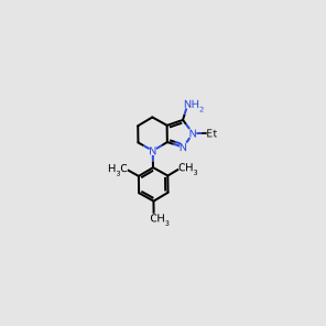 CCn1nc2c(c1N)CCCN2c1c(C)cc(C)cc1C